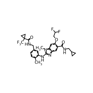 Cc1ccc(CNC(=O)C2(C(F)(F)F)CC2)cc1Nc1nc2cc(C(=O)NCC3CC3)c(OCC(F)F)cc2n1C